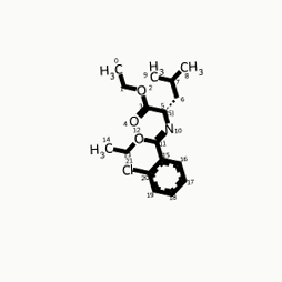 CCOC(=O)[C@H](CC(C)C)N=C(OCC)c1ccccc1Cl